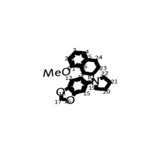 COc1cccc2c1C[C@@H]([N+]1(c3ccc4c(c3)OCO4)CCCC1)CC2